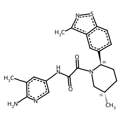 Cc1cc(NC(=O)C(=O)N2C[C@@H](C)CC[C@@H]2c2ccc3snc(C)c3c2)cnc1N